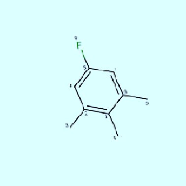 [CH2]c1c(C)cc(F)cc1C